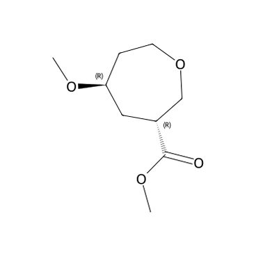 COC(=O)[C@H]1COCC[C@H](OC)C1